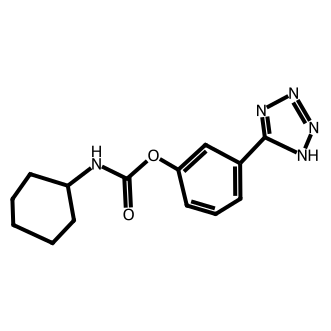 O=C(NC1CCCCC1)Oc1cccc(-c2nnn[nH]2)c1